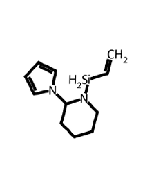 C=C[SiH2]N1CCCCC1n1cccc1